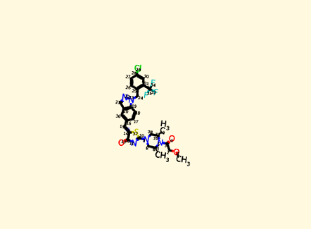 COCC(=O)N1[C@H](C)CN(C2=NC(=O)/C(=C/c3ccc4c(cnn4Cc4ccc(Cl)cc4C(F)(F)F)c3)S2)C[C@@H]1C